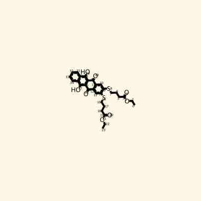 CCOC(=O)CCCSc1cc2c(cc1SCCCC(=O)OCC)C(=O)c1c(c(O)c3ccccc3c1O)C2=O